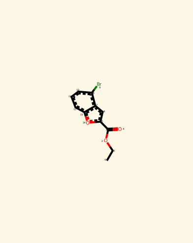 CCOC(=O)c1cc2c(Br)cccc2o1